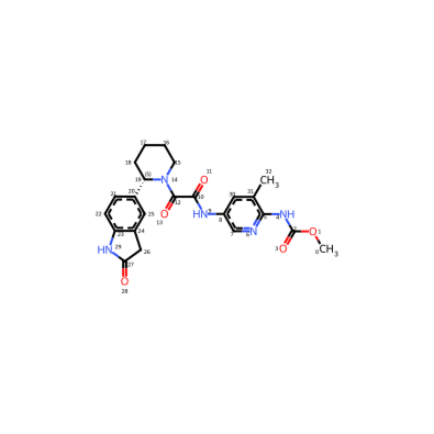 COC(=O)Nc1ncc(NC(=O)C(=O)N2CCCC[C@H]2c2ccc3c(c2)CC(=O)N3)cc1C